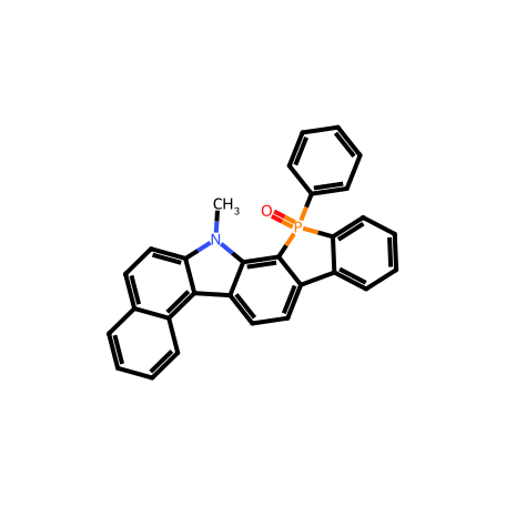 Cn1c2ccc3ccccc3c2c2ccc3c(c21)P(=O)(c1ccccc1)c1ccccc1-3